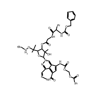 CC(C)C(=O)OCOC(=O)Nc1cc2c(=O)[nH]ncc3nn(C4OC(C(C)(C)O[SiH2]C(C)(C)C)C(OC(=O)CNC(=O)C(NC(=O)OCc5ccccc5)C(C)C)C4(C)O)cc1c32